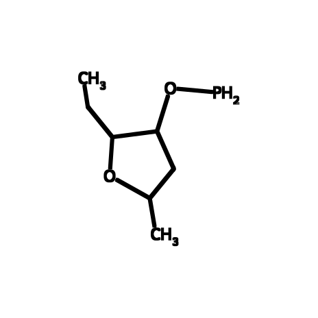 CCC1OC(C)CC1OP